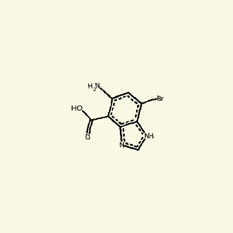 Nc1cc(Br)c2[nH]cnc2c1C(=O)O